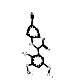 COc1cc(OC)c(C)c(C(Nc2ccc(C#N)cc2)C(=O)O)c1